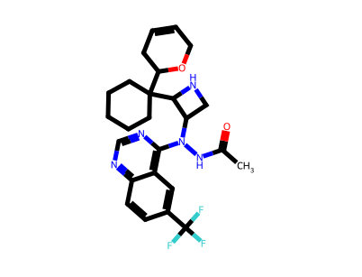 CC(=O)NN(c1ncnc2ccc(C(F)(F)F)cc12)C1CNC1C1(C2CC=CCO2)CCCCC1